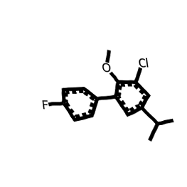 COc1c(Cl)cc(C(C)C)cc1-c1ccc(F)cc1